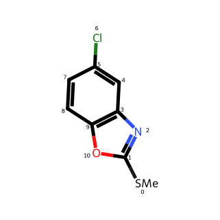 CSc1nc2cc(Cl)ccc2o1